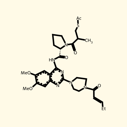 CCC=CC(=O)N1CCN(c2nc(NC(=O)[C@@H]3CCCN3C(=O)C(C)CSC(C)=O)c3cc(OC)c(OC)cc3n2)CC1